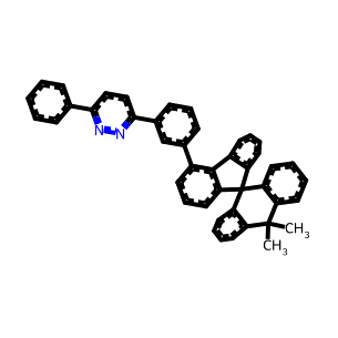 CC1(C)c2ccccc2C2(c3ccccc3-c3c(-c4cccc(-c5ccc(-c6ccccc6)nn5)c4)cccc32)c2ccccc21